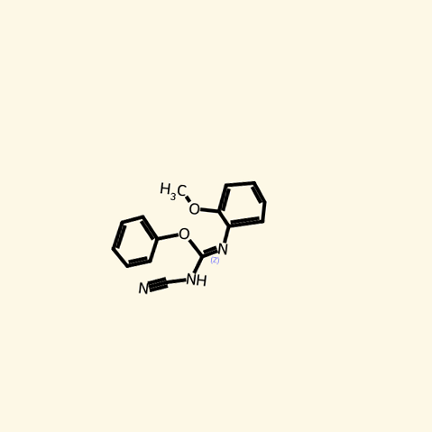 COc1ccccc1/N=C(/NC#N)Oc1ccccc1